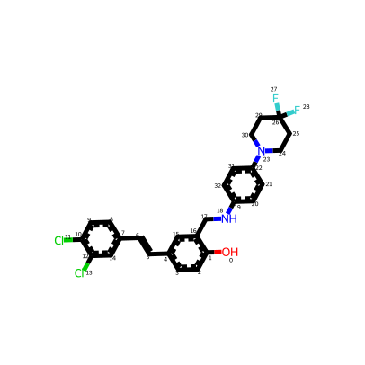 Oc1ccc(/C=C/c2ccc(Cl)c(Cl)c2)cc1CNc1ccc(N2CCC(F)(F)CC2)cc1